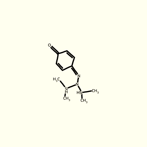 C[SiH](C)N(N=C1C=CC(=O)C=C1)[SiH](C)C